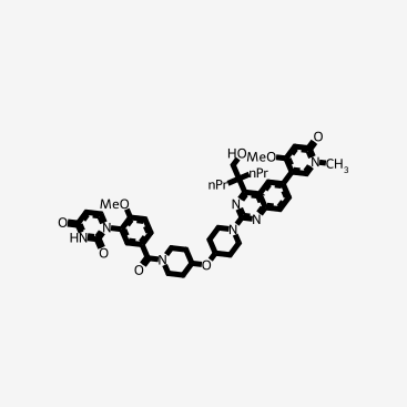 CCCC(CO)(CCC)c1nc(N2CCC(OC3CCN(C(=O)c4ccc(OC)c(-n5ccc(=O)[nH]c5=O)c4)CC3)CC2)nc2ccc(-c3cn(C)c(=O)cc3OC)cc12